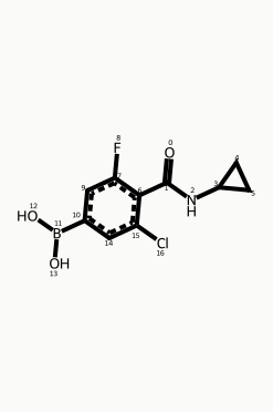 O=C(NC1CC1)c1c(F)cc(B(O)O)cc1Cl